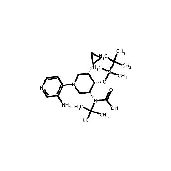 CC(C)(C)N(C(=O)O)[C@@H]1CN(c2ccncc2N)C[C@H](C2CC2)[C@@H]1O[Si](C)(C)C(C)(C)C